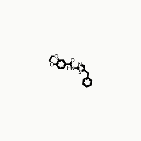 O=C(Nc1ncc(Cc2ccccc2)s1)c1ccc2c(c1)OCCO2